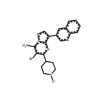 Nc1c(Br)c(C2CC[S+]([O-])CC2)nc2c(-c3cnc4ccccc4c3)cnn12